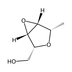 C[C@@H]1O[C@H](CO)[C@@H]2O[C@@H]21